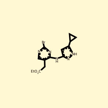 CCOC(=O)Cc1cnc(Br)nc1Nc1cc(C2CC2)[nH]n1